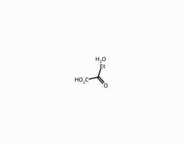 CCC(=O)C(=O)O.O